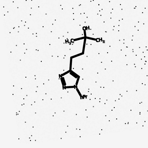 [CH2]CCn1cc(CCC(C)(C)O)nn1